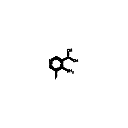 Nc1c(F)cncc1B(O)O